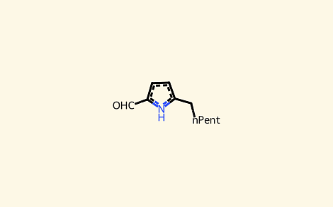 CCCCCCc1ccc(C=O)[nH]1